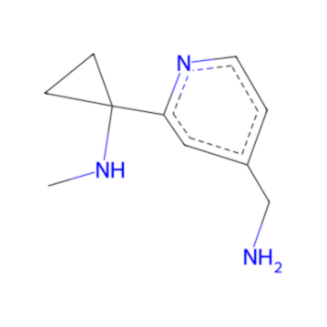 CNC1(c2cc(CN)ccn2)CC1